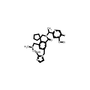 CCOc1cc(C(C)N2CC3(CCCC3)c3c(CN(C)C)cc(Cn4ccnc4NC)cc3C2=O)ncc1F